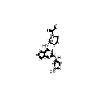 C=CC(=O)N1CCC[C@@H](Nc2nc(Nc3cnn(CC)c3)nc3ccsc23)C1